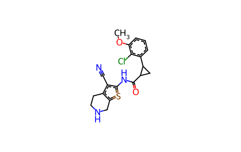 COc1cccc(C2CC2C(=O)Nc2sc3c(c2C#N)CCNC3)c1Cl